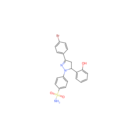 NS(=O)(=O)c1ccc(N2N=C(c3ccc(Br)cc3)CC2c2ccccc2O)cc1